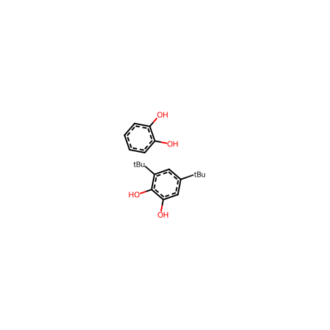 CC(C)(C)c1cc(O)c(O)c(C(C)(C)C)c1.Oc1ccccc1O